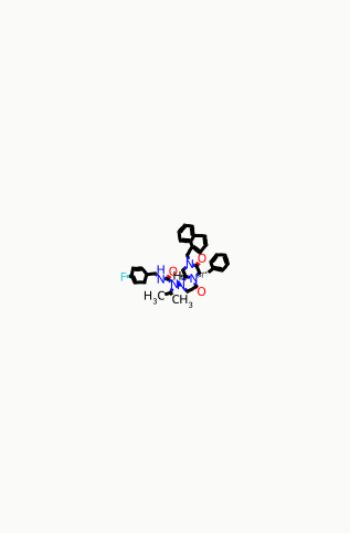 CC(C)N(C(=O)NCC1C=CC(F)=CC1)N1CC(=O)N2[C@@H](Cc3ccccc3)C(=O)N(Cc3cccc4ccccc34)C[C@@H]21